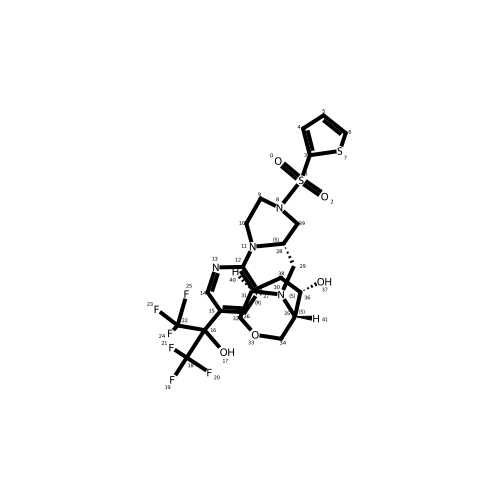 O=S(=O)(c1cccs1)N1CCN(c2ncc(C(O)(C(F)(F)F)C(F)(F)F)cn2)[C@@H](CN2[C@H]3COC[C@H]2[C@@H](O)C3)C1